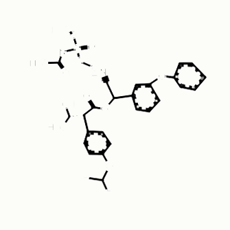 CC(C)[C@H](C(=O)OC(C#N)c1cccc(Oc2ccccc2)c1)c1ccc(OC(F)F)cc1.COP(=O)(NC(C)=O)SC